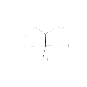 CCCCCCC(C)C(C)(C(=O)O)C(=O)O.[MgH2]